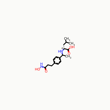 CC(C)C[C@@H](NC(C)c1ccc(CCC(=O)NO)cc1)C(=O)O